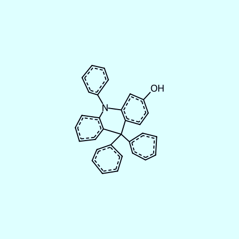 Oc1ccc2c(c1)N(c1ccccc1)c1ccccc1C2(c1ccccc1)c1ccccc1